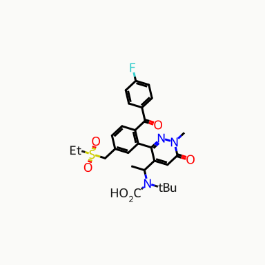 CCS(=O)(=O)Cc1ccc(C(=O)c2ccc(F)cc2)c(-c2nn(C)c(=O)cc2C(C)N(C(=O)O)C(C)(C)C)c1